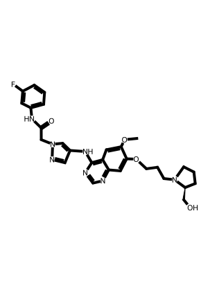 COc1cc2c(Nc3cnn(CC(=O)Nc4cccc(F)c4)c3)ncnc2cc1OCCCN1CCC[C@H]1CO